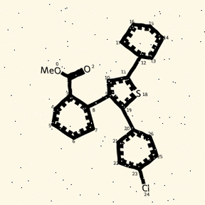 COC(=O)c1ccccc1-c1cc(-c2ccccc2)sc1-c1ccc(Cl)cc1